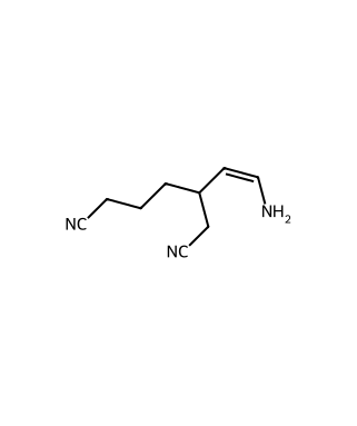 N#CCCCC(/C=C\N)CC#N